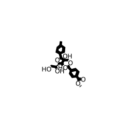 COC(=O)c1ccc(C2OC[C@@]3(O)C(c4ccc(C)cc4)O[C@H](C(O)CO)[C@@H]3O2)cc1